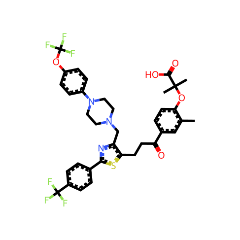 Cc1cc(C(=O)CCc2sc(-c3ccc(C(F)(F)F)cc3)nc2CN2CCN(c3ccc(OC(F)(F)F)cc3)CC2)ccc1OC(C)(C)C(=O)O